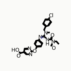 CCN(C=O)C(=O)N/C(=N\c1ccc(Oc2ncc(C(=O)O)cn2)cc1)N(C)Cc1ccc(Cl)cc1